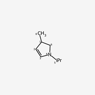 CC1C=CN(C(C)C)C1